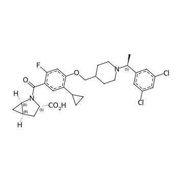 C[C@@H](c1cc(Cl)cc(Cl)c1)N1CCC(COc2cc(F)c(C(=O)N3[C@@H]4C[C@@H]4C[C@H]3C(=O)O)cc2C2CC2)CC1